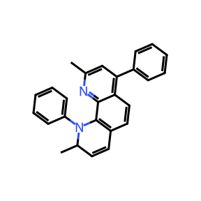 Cc1cc(-c2ccccc2)c2ccc3c(c2n1)N(c1ccccc1)C(C)C=C3